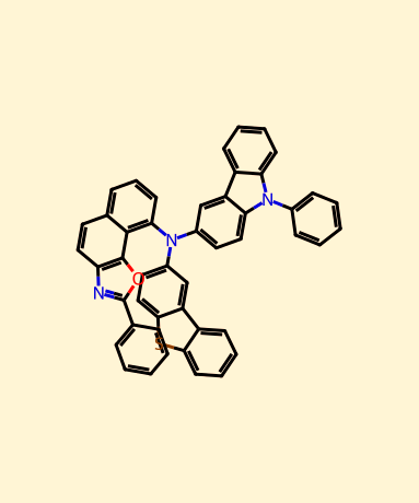 c1ccc(-c2nc3ccc4cccc(N(c5ccc6sc7ccccc7c6c5)c5ccc6c(c5)c5ccccc5n6-c5ccccc5)c4c3o2)cc1